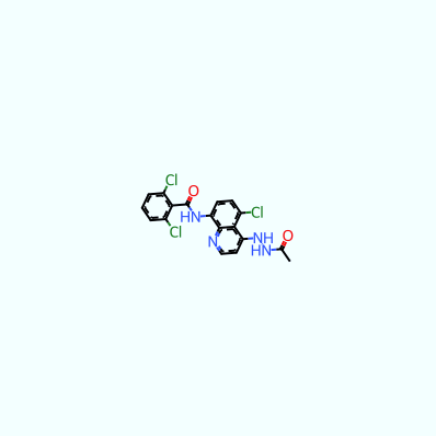 CC(=O)NNc1ccnc2c(NC(=O)c3c(Cl)cccc3Cl)ccc(Cl)c12